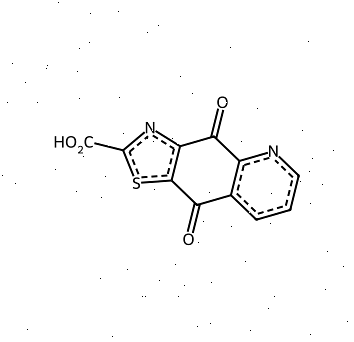 O=C(O)c1nc2c(s1)C(=O)c1cccnc1C2=O